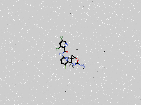 C[C@@]1(c2nc(NC(=O)c3ncc(Cl)cc3Cl)ccc2F)N=C(N)OC2C[C@H]21